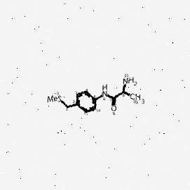 CSCc1ccc(NC(=O)C(C)N)cc1